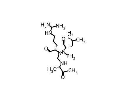 CC(=O)[C@H](C)NCN([C@H](C=O)CCCNC(N)N)N(P)[C@H](C=O)CC(C)C